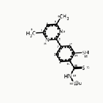 Cc1cc(C)nc(-c2ccc(C(=S)NC(C)(C)C)c(S)c2)n1